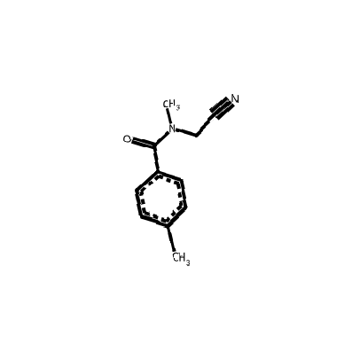 Cc1ccc(C(=O)N(C)CC#N)cc1